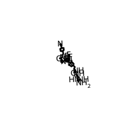 N#Cc1ccc(CCNC(=O)[C@@H]2CCN2c2cc(N3CCC(CCNC(=O)NCCNC(=N)N)CC3)nc(C(F)(F)F)n2)cc1